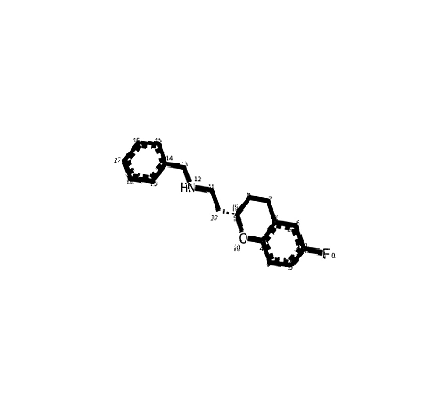 Fc1ccc2c(c1)CC[C@@H](CCNCc1ccccc1)O2